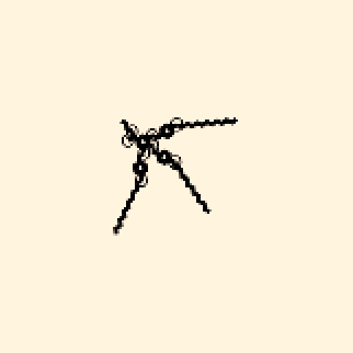 CCCCCCCCCCCCOc1ccc(COc2cc(C(=O)OCCC)cc(OCc3ccc(OCCCCCCCCCCCC)cc3)c2OCc2ccc(OCCCCCCCCCCCC)cc2)cc1